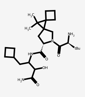 CC(C)(C)[C@H](N)C(=O)N1CC2(C[C@H]1C(=O)NC(CC1CCC1)C(O)C(N)=O)C(C)(C)C21CCC1